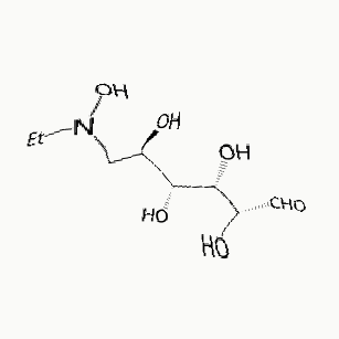 CCN(O)C[C@@H](O)[C@@H](O)[C@H](O)[C@@H](O)C=O